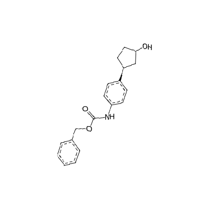 O=C(Nc1ccc([C@H]2CCC(O)C2)cc1)OCc1ccccc1